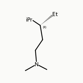 CC[C@H](CCN(C)C)C(C)C